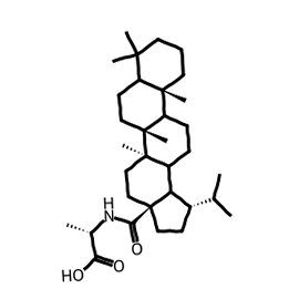 CC(C)[C@@H]1CC[C@]2(C(=O)N[C@@H](C)C(=O)O)CC[C@]3(C)C(CCC4[C@@]5(C)CCCC(C)(C)C5CC[C@]43C)C12